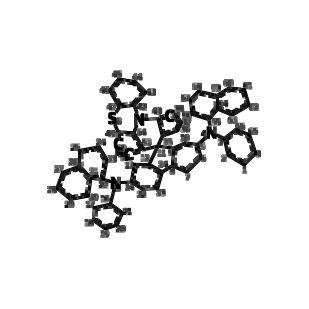 c1ccc(N(c2ccc3c(c2)C2(c4cc(N(c5ccccc5)c5cccc6ccccc56)ccc4-3)c3ccccc3N3c4ccccc4Sc4cccc2c43)c2cccc3ccccc23)cc1